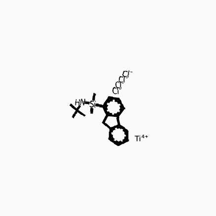 CC(C)(C)N[Si](C)(C)c1cccc2c1Cc1ccccc1-2.[Cl-].[Cl-].[Cl-].[Cl-].[Ti+4]